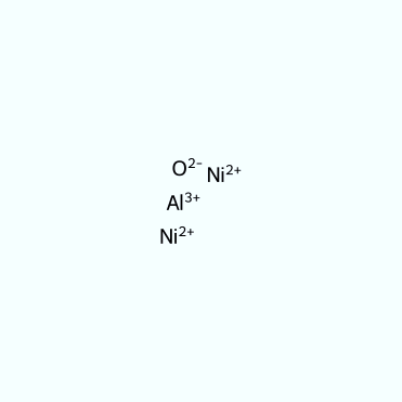 [Al+3].[Ni+2].[Ni+2].[O-2]